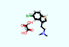 CN(C)CCc1csc2ccc(Br)cc12.O=C(O)C(=O)O